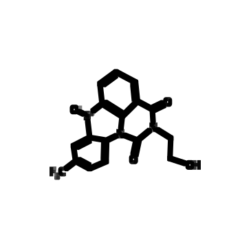 O=c1c2cccc3c2n(c(=O)n1CCO)-c1ccc(C(F)(F)F)cc1[S+]3[O-]